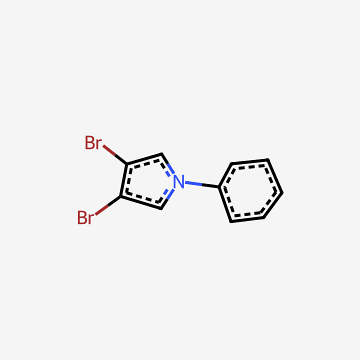 Brc1cn(-c2ccccc2)cc1Br